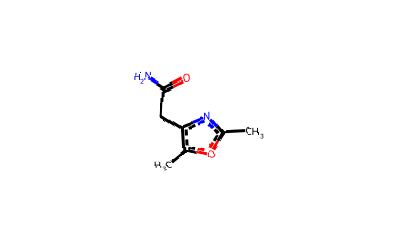 Cc1nc(CC(N)=O)c(C)o1